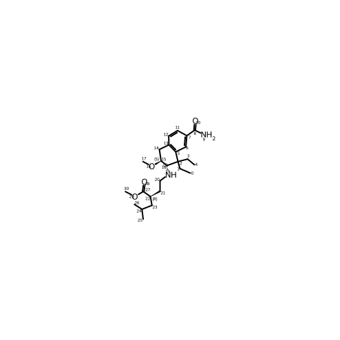 CCC1(CC)c2cc(C(N)=O)ccc2C[C@H](OC)[C@H]1NCC[C@@H](CC(C)C)C(=O)OC